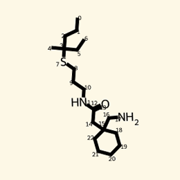 CCCC(C)(CC)SCCCNC(=O)CC1(CN)CCCCC1